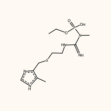 CCOP(=O)(O)N(C)C(=N)NCCSCc1nc[nH]c1C